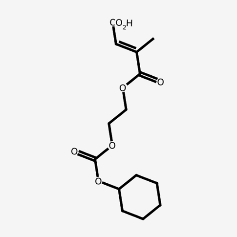 CC(=CC(=O)O)C(=O)OCCOC(=O)OC1CCCCC1